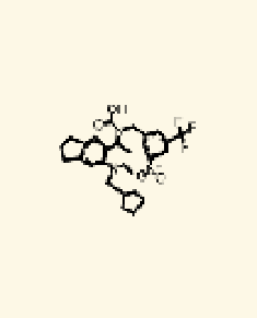 CCN(CC1CCCC1)c1cc2c(cc1C(C)N(Cc1cc([N+](=O)[O-])cc(C(F)(F)F)c1)C(=O)O)CCC2